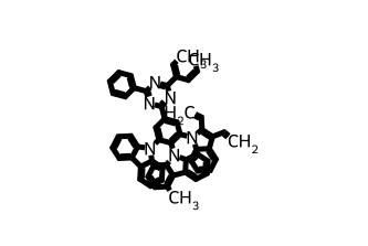 C=Cc1c(C=C)n(-c2cc(-c3nc(C(/C=C\C)=C/C)nc(-c4ccccc4)n3)cc(-n3c4ccccc4c4ccccc43)c2-n2c3ccccc3c3c(C)cccc32)c2ccccc12